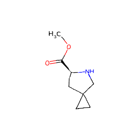 COC(=O)[C@@H]1CC2(CC2)CN1